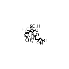 Cc1nc([C@]2(C)[C@H](NC(=O)Cc3cc(Cl)no3)C(=O)N2S(=O)(=O)O)cs1